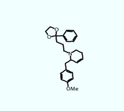 COc1ccc(CC2C=CCCN2CCCC2(c3ccccc3)OCCO2)cc1